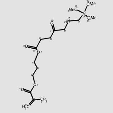 C=C(C)C(=O)OCCCOC(=O)CCC(=O)CNC[Si](OC)(OC)OC